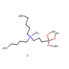 CCCCCCCCCCCCCC[N+](C)(CCCCCCCCCCCCCC)CCC[Si](OCCCC)(OCCCC)OCCCC.[Cl-]